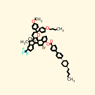 CCCCC[C@H]1CC[C@H](c2ccc(-c3ccc(C(=O)Oc4cccc5c4c(Br)cc4c6c(c7c(c45)OC(c4ccc(OC)cc4)(c4ccc(OCCCC)cc4)C=C7)C(C)(C)c4cc(C(F)(F)F)ccc4-6)cc3)cc2)CC1